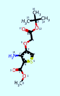 COC(=O)c1scc(OCC(=O)OC(C)(C)C)c1N